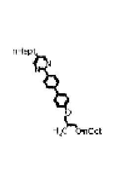 CCCCCCCCOC[C@@H](C)COc1ccc(-c2ccc(-c3ncc(CCCCCCC)cn3)cc2)cc1